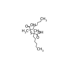 CCCCCCC(C)(SC(C)(CCCCCC)C(=O)O)C(=O)O